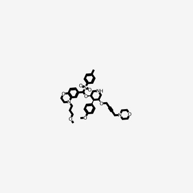 COCCCN1CCOc2ccc(C(O[C@H]3CNC[C@@H](OCC#CCN4CCOCC4)[C@H]3c3ccc(OC)cc3)S(=O)(=O)c3ccc(C)cc3)cc21